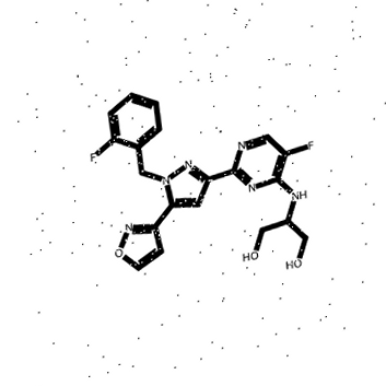 OCC(CO)Nc1nc(-c2cc(-c3ccon3)n(Cc3ccccc3F)n2)ncc1F